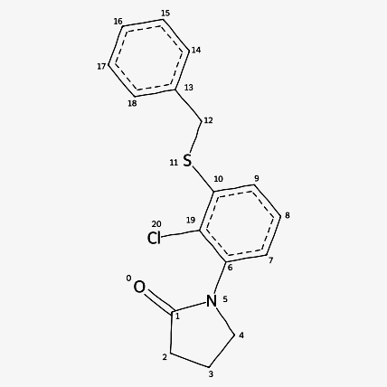 O=C1CCCN1c1cccc(SCc2ccccc2)c1Cl